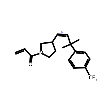 C=CC(=O)N1CCC(/C=C\C(C)(C)c2ccc(C(F)(F)F)cc2)C1